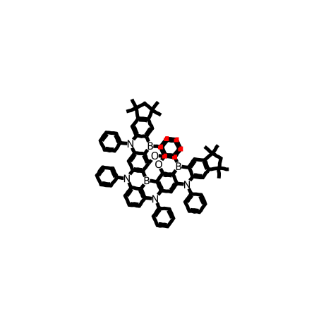 CC1(C)CC(C)(C)c2cc3c(cc21)B1c2ccccc2Oc2c1c(cc1c2B2c4c(cccc4N(c4ccccc4)c4cc5c6c(c42)Oc2ccccc2B6c2cc4c(cc2N5c2ccccc2)C(C)(C)CC4(C)C)N1c1ccccc1)N3c1ccccc1